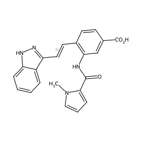 Cn1cccc1C(=O)Nc1cc(C(=O)O)ccc1/C=C/c1n[nH]c2ccccc12